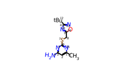 Cc1cc(N)nc(SCc2nc(C(C)(C)C)no2)n1